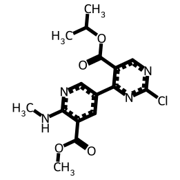 CNc1ncc(-c2nc(Cl)ncc2C(=O)OC(C)C)cc1C(=O)OC